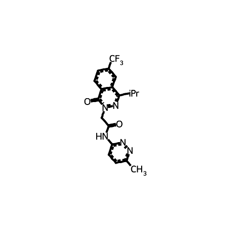 Cc1ccc(NC(=O)Cn2nc(C(C)C)c3cc(C(F)(F)F)ccc3c2=O)nn1